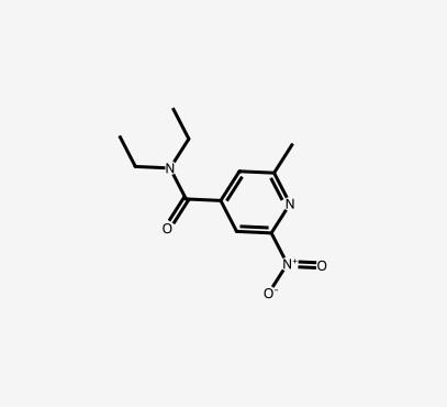 CCN(CC)C(=O)c1cc(C)nc([N+](=O)[O-])c1